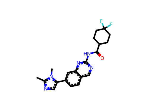 Cc1ncc(-c2ccc3cnc(NC(=O)C4CCC(F)(F)CC4)nc3c2)n1C